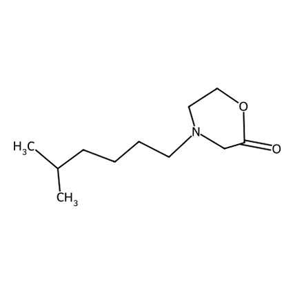 CC(C)CCCCN1CCOC(=O)C1